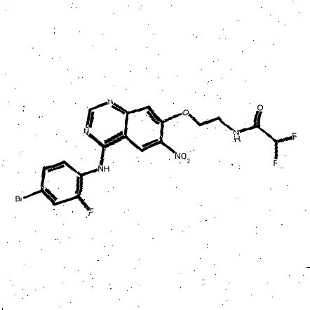 O=C(NCCOc1cc2ncnc(Nc3ccc(Br)cc3F)c2cc1[N+](=O)[O-])C(F)F